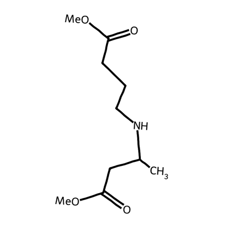 COC(=O)CCCNC(C)CC(=O)OC